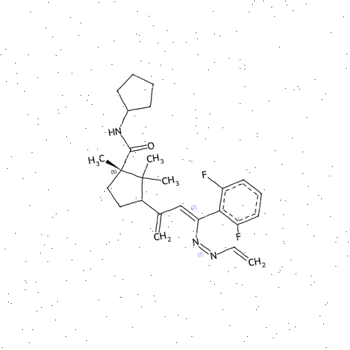 C=C/N=N\C(=C/C(=C)C1CC[C@](C)(C(=O)NC2CCCC2)C1(C)C)c1c(F)cccc1F